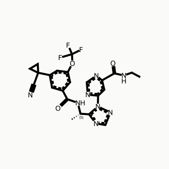 CCNC(=O)c1cc(-n2ncnc2[C@H](C)NC(=O)c2cc(OC(F)(F)F)cc(C3(C#N)CC3)c2)ncn1